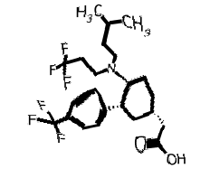 CC(C)CCN(CCC(F)(F)F)[C@H]1CC[C@H](CC(=O)O)C[C@@H]1c1ccc(C(F)(F)F)cc1